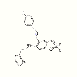 CCS(=O)(=O)Nc1ccc(NCCc2nccs2)c(/C=C/c2ccc(F)cc2)c1